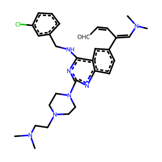 CN(C)/C=C(\C=C/C=O)c1ccc2nc(N3CCN(CCN(C)C)CC3)nc(NCc3cccc(Cl)c3)c2c1